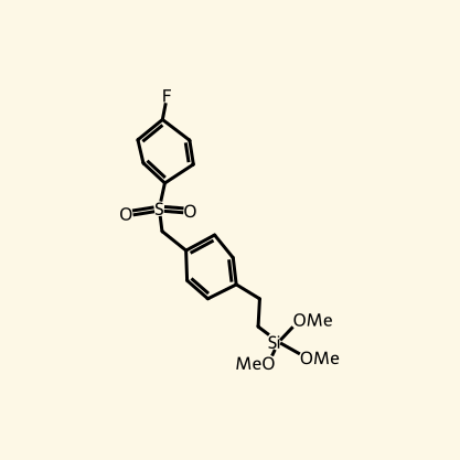 CO[Si](CCc1ccc(CS(=O)(=O)c2ccc(F)cc2)cc1)(OC)OC